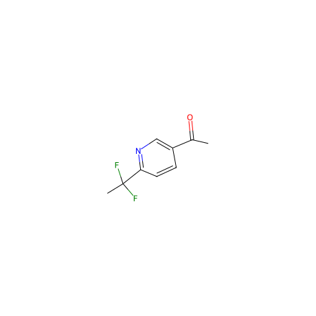 CC(=O)c1ccc(C(C)(F)F)nc1